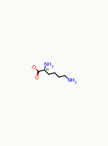 NCCCC[C@H](N)C([O])=O